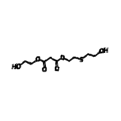 O=C(CC(=O)OCCSCCO)OCCO